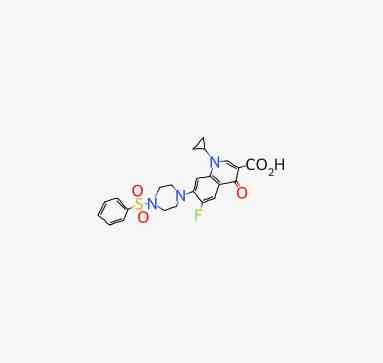 O=C(O)c1cn(C2CC2)c2cc(N3CCN(S(=O)(=O)c4ccccc4)CC3)c(F)cc2c1=O